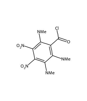 CNc1c(NC)c([N+](=O)[O-])c([N+](=O)[O-])c(NC)c1C(=O)Cl